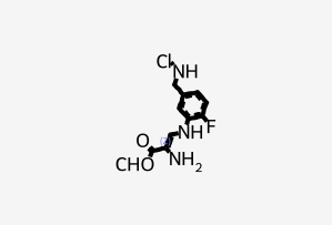 N/C(=C\Nc1cc(CNCl)ccc1F)C(=O)C=O